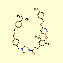 Cc1ccc(COc2ccc(Oc3c(C)cc(C=CC(=O)N4CCN(Cc5ccc(COCc6ccc(C(C)C)cc6)cc5)CC4)cc3Cl)nc2)cc1